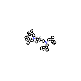 CCC(CC)(c1ccc(N(c2ccc3c(c2)C2(c4ccccc4-3)C3CC4CC(C3)C2C4)c2ccc3c(c2)C2(c4ccccc4-3)C3CC4CC5CC2C5(C4)C3)cc1)c1ccc(N(c2ccc3c(c2)C2(c4ccccc4-3)C3CC4CC5CC2C5(C4)C3)c2ccc3c(c2)C2(c4ccccc4-3)C3CC4CC5CC2C5(C4)C3)cc1